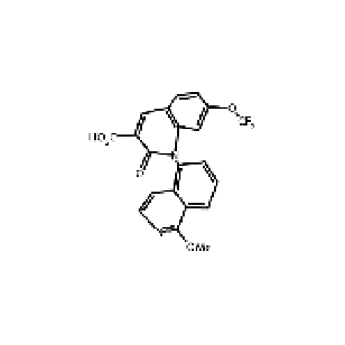 COc1nccc2c(-n3c(=O)c(C(=O)O)cc4ccc(OC(F)(F)F)cc43)cccc12